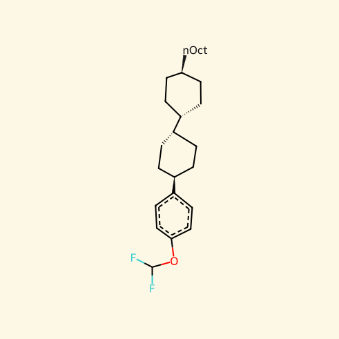 CCCCCCCC[C@H]1CC[C@H]([C@H]2CC[C@H](c3ccc(OC(F)F)cc3)CC2)CC1